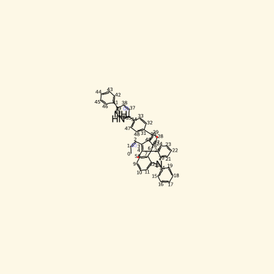 C/C=C\C1=C(C)C2(c3ccccc3N(c3ccccc3)c3ccccc32)c2cccc(-c3ccc(C(=N)/C=C\C(=N)c4ccccc4)cc3)c21